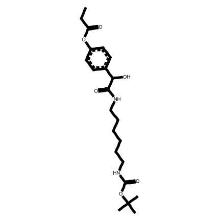 CCC(=O)Oc1ccc(C(O)C(=O)NCCCCCCNC(=O)OC(C)(C)C)cc1